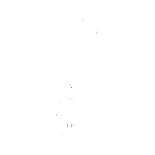 CCC(C(=O)NO)S(=O)(=O)N1CCC(Oc2ccc(C(F)(F)F)cc2)CC1